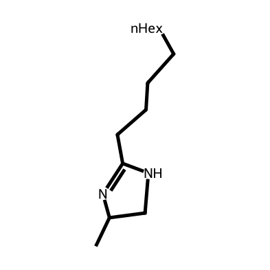 CCCCCCCCCCC1=NC(C)CN1